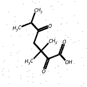 CC(C)C(=O)CC(C)(C)C(=O)C(=O)O